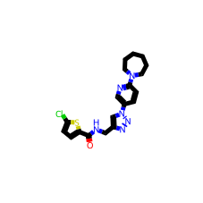 O=C(NCc1cn(-c2ccc(N3CCCCCC3)nc2)nn1)c1ccc(Cl)s1